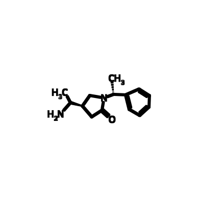 CC(N)[C@@H]1CC(=O)N([C@H](C)c2ccccc2)C1